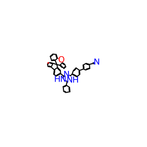 N#Cc1ccc(-c2ccc(C3N=C(c4ccc5c(c4)C4(c6ccccc6Oc6ccccc64)c4ccccc4-5)NC(c4ccccc4)N3)cc2)cc1